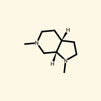 CN1CC[C@@H]2CCN(C)[C@@H]2C1